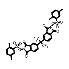 Cc1ccc(C)c(S(=O)(=O)ON2C(=O)c3ccc(C(c4ccc5c(c4)C(=O)N(OS(=O)(=O)c4cc(C)ccc4C)C5=O)(C(F)(F)F)C(F)(F)F)cc3C2=O)c1